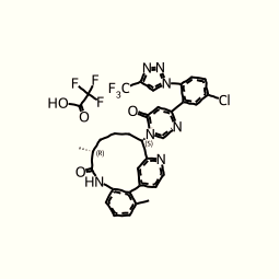 Cc1cccc2c1-c1ccnc(c1)[C@@H](n1cnc(-c3cc(Cl)ccc3-n3cc(C(F)(F)F)nn3)cc1=O)CCC[C@@H](C)C(=O)N2.O=C(O)C(F)(F)F